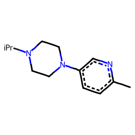 Cc1ccc(N2CCN(C(C)C)CC2)cn1